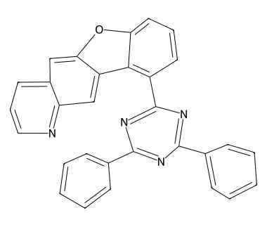 c1ccc(-c2nc(-c3ccccc3)nc(-c3cccc4oc5cc6cccnc6cc5c34)n2)cc1